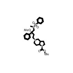 CO[C@@](CCN1CCC2C(CCN2C(=O)OC(C)(C)C)C1)(CN(C)S(=O)(=O)c1ccccc1)c1ccccc1